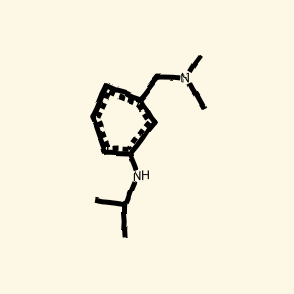 CC(C)Nc1cccc(CN(C)C)c1